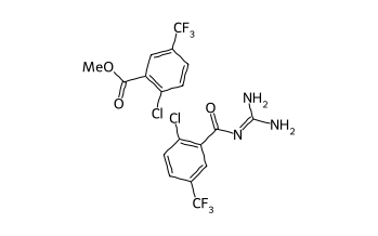 COC(=O)c1cc(C(F)(F)F)ccc1Cl.NC(N)=NC(=O)c1cc(C(F)(F)F)ccc1Cl